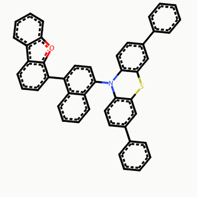 c1ccc(-c2ccc3c(c2)Sc2cc(-c4ccccc4)ccc2N3c2ccc(-c3cccc4c3oc3ccccc34)c3ccccc23)cc1